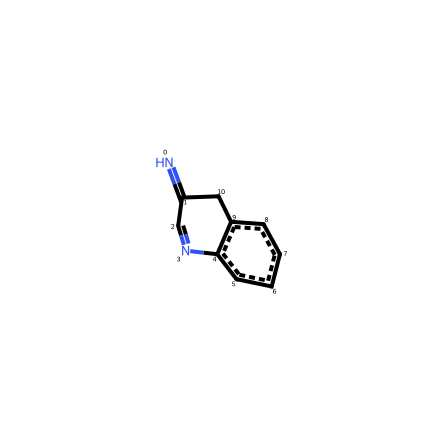 N=C1C=Nc2ccccc2C1